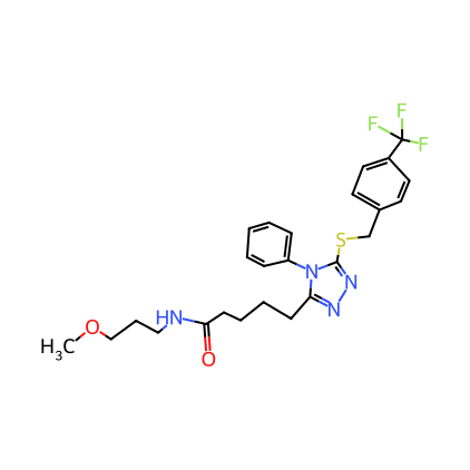 COCCCNC(=O)CCCCc1nnc(SCc2ccc(C(F)(F)F)cc2)n1-c1ccccc1